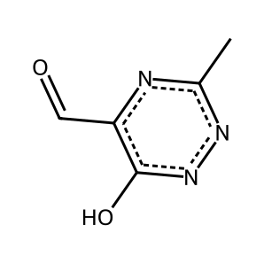 Cc1nnc(O)c(C=O)n1